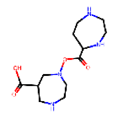 O=C(O)C1CNCCN(OC(=O)C2CCNCCN2)C1